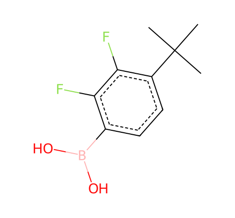 CC(C)(C)c1ccc(B(O)O)c(F)c1F